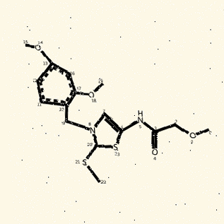 COCC(=O)NC1=CN(Cc2ccc(OC)cc2OC)C(SC)S1